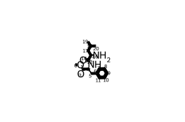 COC(=O)[C@H](Cc1ccccc1)NC(=O)[C@@H](N)CC(C)C